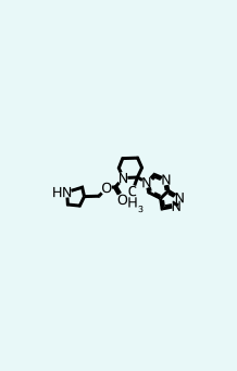 CC1(n2cnc3nncc-3c2)CCCCN1C(=O)OCC1CCNC1